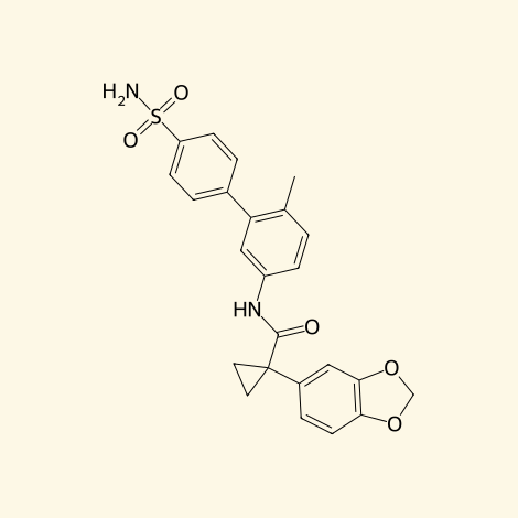 Cc1ccc(NC(=O)C2(c3ccc4c(c3)OCO4)CC2)cc1-c1ccc(S(N)(=O)=O)cc1